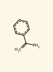 C=C(P)c1ccccc1